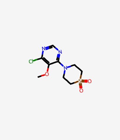 COc1c(Cl)ncnc1N1CCS(=O)(=O)CC1